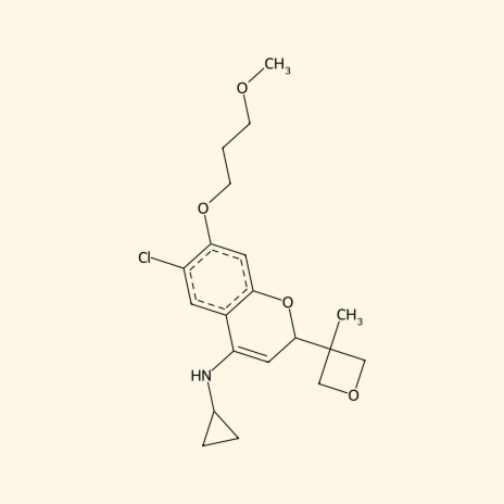 COCCCOc1cc2c(cc1Cl)C(NC1CC1)=CC(C1(C)COC1)O2